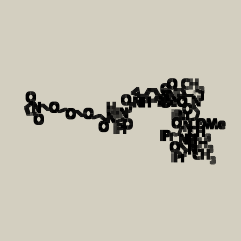 CC[C@H](C)[C@@H]([C@@H](CC(=O)N1CCC[C@H]1[C@H](OC)[C@@H](C)C(=O)NS(=O)(=O)c1ccc(C2(NC(=O)CNC(=O)C(NC(=O)CCOCCOCCOCCN3C(=O)C=CC3=O)C(C)C)CC2)cc1)OC)N(C)C(=O)[C@@H](NC(=O)C(C(C)C)N(C)C)C(C)C